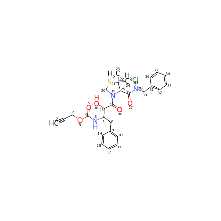 C#CCOC(=O)NC(Cc1ccccc1)C(O)C(=O)N1CSC(C)(C)C1C(=O)N(Cl)Cc1ccccc1